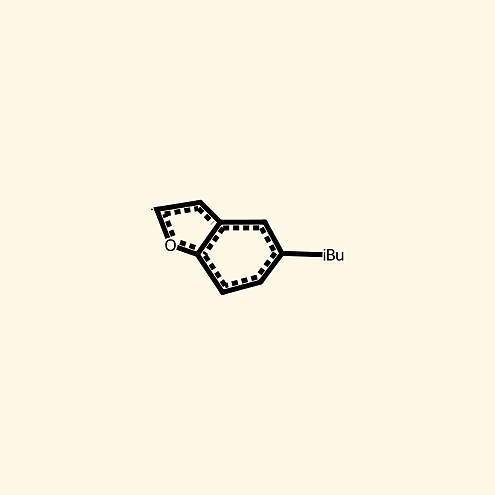 CCC(C)c1ccc2o[c]cc2c1